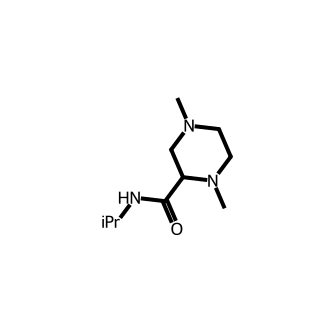 CC(C)NC(=O)C1CN(C)CCN1C